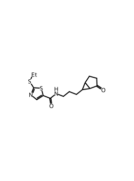 CCSc1ncc(C(=O)NCCCC2C3CCC(=O)C23)s1